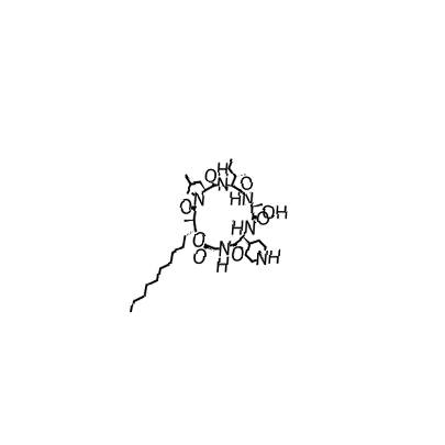 CCCCCCCCCC[C@H]1OC(=O)CNC(=O)[C@H](C2CCNCC2)NC(=O)[C@H](CO)NC(=O)[C@H]([C@@H](C)CC)NC(=O)[C@H](CC(C)C)N(C)C(=O)[C@@H]1C